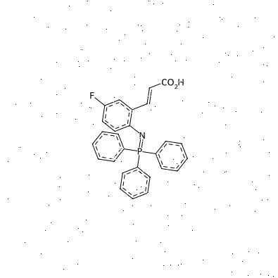 O=C(O)C=Cc1cc(F)ccc1N=P(c1ccccc1)(c1ccccc1)c1ccccc1